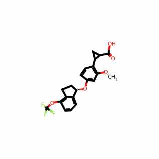 COc1cc(O[C@@H]2CCc3c(OC(F)(F)F)cccc32)ccc1C1CC1C(=O)O